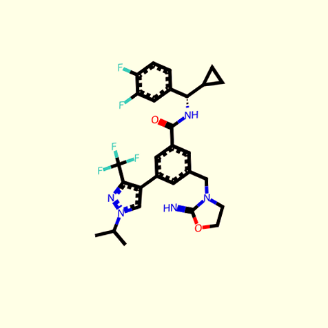 CC(C)n1cc(-c2cc(CN3CCOC3=N)cc(C(=O)N[C@H](c3ccc(F)c(F)c3)C3CC3)c2)c(C(F)(F)F)n1